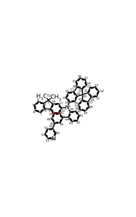 CC1(C)c2ccccc2-c2ccc(N(c3ccc4c(c3)C3(c5ccccc5-c5ccccc53)c3ccccc3-4)c3ccccc3-c3cccc(-c4cccnc4)c3)cc21